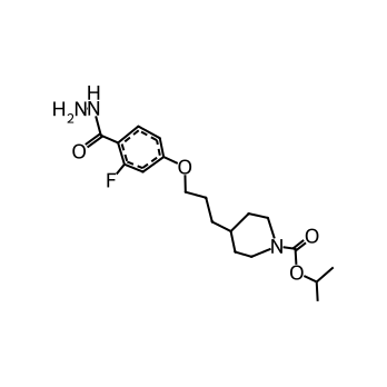 CC(C)OC(=O)N1CCC(CCCOc2ccc(C(=O)NN)c(F)c2)CC1